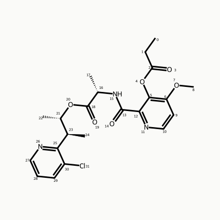 CCC(=O)Oc1c(OC)ccnc1C(=O)N[C@@H](C)C(=O)O[C@@H](C)[C@@H](C)c1ncccc1Cl